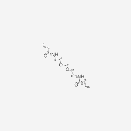 C=CC(=O)NCCOCOCCNC(=O)C=C